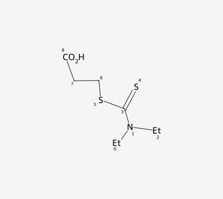 CCN(CC)C(=S)SCCC(=O)O